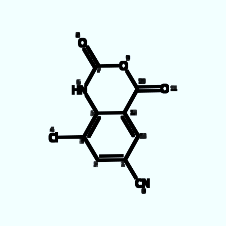 N#Cc1cc(Cl)c2[nH]c(=O)oc(=O)c2c1